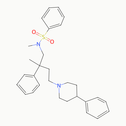 CN(CC(C)(CCN1CCC(c2ccccc2)CC1)c1ccccc1)S(=O)(=O)c1ccccc1